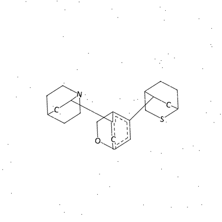 c1c2cc(C3CC4CCN3CC4)c(c1C1CC3CCC1CS3)CO2